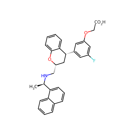 C[C@@H](NC[C@H]1C[C@@H](c2cc(F)cc(OCC(=O)O)c2)c2ccccc2O1)c1cccc2ccccc12